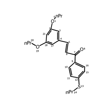 CCCOc1cc(C=CC(=O)c2ccc(SCCC)cc2)cc(OCCC)c1